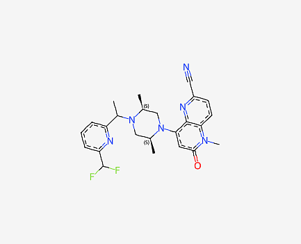 CC(c1cccc(C(F)F)n1)N1C[C@H](C)N(c2cc(=O)n(C)c3ccc(C#N)nc23)C[C@@H]1C